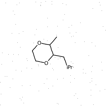 C[C](C)CC1OCCOC1C